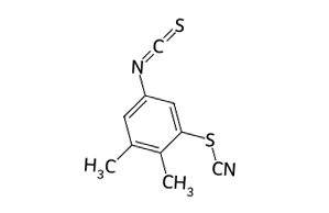 Cc1cc(N=C=S)cc(SC#N)c1C